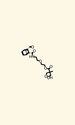 CC(CO)(CO)C(=O)OCCOCCNC(=O)[C@@H]1C2C=CC(O2)[C@@H]1C=O